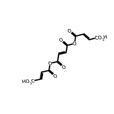 O=C(O)/C=C/C(=O)OC(=O)/C=C/C(=O)OC(=O)/C=C/C(=O)O